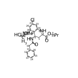 CCCOC(=O)C1CC(NC(=O)Cc2ccccc2)c2c(Cl)cc(Cl)cc2N1.CNC.Cl